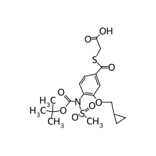 CC(C)(C)OC(=O)N(c1ccc(C(=O)SCC(=O)O)cc1OCC1CC1)S(C)(=O)=O